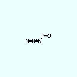 [N-]=[N+]=NP=O